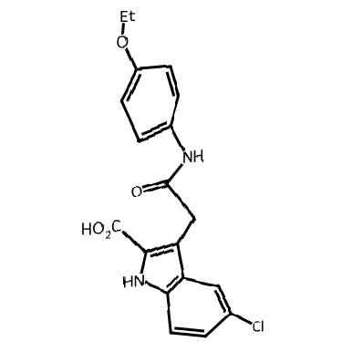 CCOc1ccc(NC(=O)Cc2c(C(=O)O)[nH]c3ccc(Cl)cc23)cc1